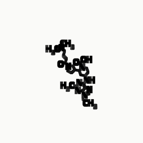 CCn1cnc2c(NC3CCN(C(=O)O)C(C4CCN(C(=O)/C=C/CN(C)C)C4)C3)nc(C)nc21